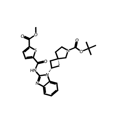 COC(=O)c1ccc(C(=O)Nc2nc3ccccc3n2[C@H]2C[C@@]3(CCN(C(=O)OC(C)(C)C)C3)C2)s1